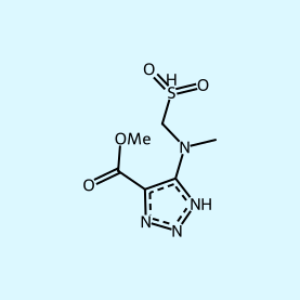 COC(=O)c1nn[nH]c1N(C)C[SH](=O)=O